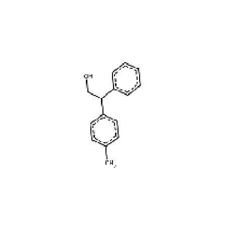 Cc1ccc(C(CO)c2ccccc2)cc1